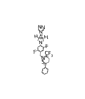 Fc1cc(N2C[C@@H]3[C@H](C2)[C@H]3n2cnnc2)c(F)cc1CN1S[C@H](c2ccccc2)CC[C@@H]1C(F)(F)F